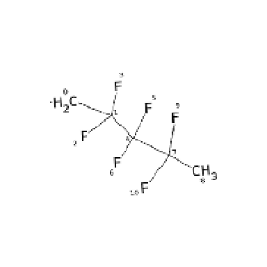 [CH2]C(F)(F)C(F)(F)C(C)(F)F